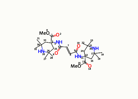 COC(=O)C1(NC(=O)C=CC(=O)NC2(C(=O)OC)CC(C)(C)NC(C)(C)C2)CC(C)(C)NC(C)(C)C1